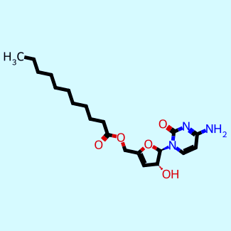 CCCCCCCCCCC(=O)OCC1=C[C@@H](O)[C@H](n2ccc(N)nc2=O)O1